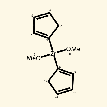 C[O][Zr]([O]C)([C]1=CC=CC1)[C]1=CC=CC1